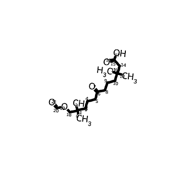 CC(C)(CCCC(=O)CCCC(C)(C)CC(=O)O)COC=O